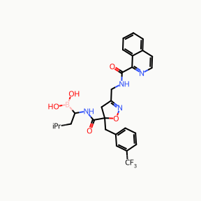 CC(C)CC(NC(=O)C1(Cc2cccc(C(F)(F)F)c2)CC(CNC(=O)c2nccc3ccccc23)=NO1)B(O)O